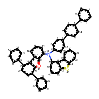 c1ccc(-c2ccc(-c3ccc(N(c4cccc5c4oc4c(-c6ccccc6)ccc(-c6ccccc6)c45)c4cccc5sc6ccccc6c45)cc3)cc2)cc1